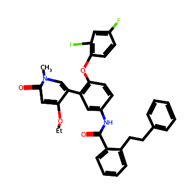 CCOc1cc(=O)n(C)cc1-c1cc(NC(=O)c2ccccc2CCc2ccccc2)ccc1Oc1ccc(F)cc1F